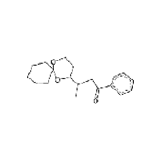 CC(CC(=O)c1ccccc1)C1CCOC2(CCCCC2)O1